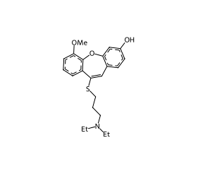 CCN(CC)CCCSC1=Cc2ccc(O)cc2Oc2c(OC)cccc21